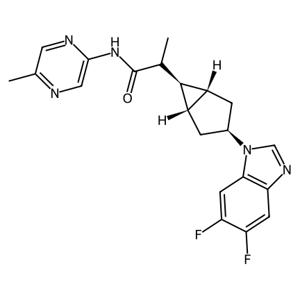 Cc1cnc(NC(=O)C(C)[C@H]2[C@@H]3C[C@@H](n4cnc5cc(F)c(F)cc54)C[C@@H]32)cn1